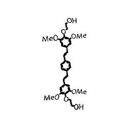 COc1cc(/C=C/c2ccc(/C=C/c3cc(OC)c(OCCO)c(OC)c3)cc2)cc(OC)c1OCCO